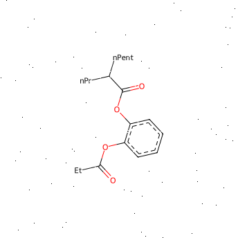 CCCCCC(CCC)C(=O)Oc1ccccc1OC(=O)CC